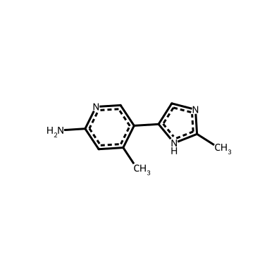 Cc1ncc(-c2cnc(N)cc2C)[nH]1